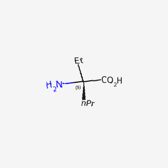 CCC[C@@](N)(CC)C(=O)O